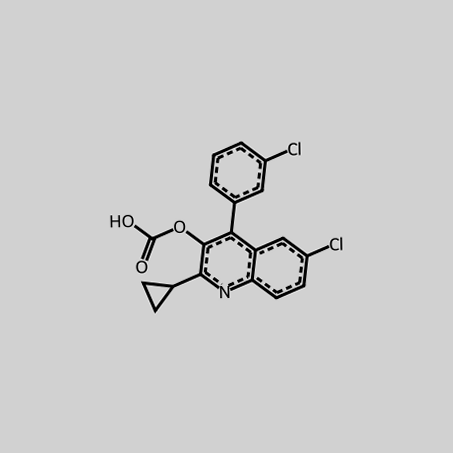 O=C(O)Oc1c(C2CC2)nc2ccc(Cl)cc2c1-c1cccc(Cl)c1